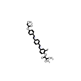 C=CC(=O)Oc1ccc(/C=C/c2ccc(/C=C/c3ccc(OC(=O)C(=C)C)c(F)c3)cc2)cc1